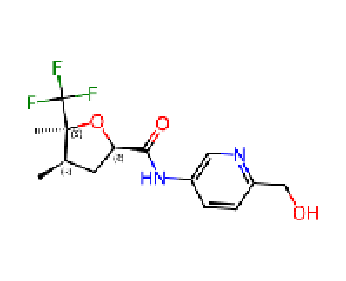 C[C@@H]1C[C@H](C(=O)Nc2ccc(CO)nc2)O[C@]1(C)C(F)(F)F